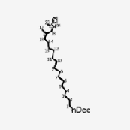 CCCCCCCCCCCCCCCCCCCCCCCCCC(C)C[Si](C)(C)Cl